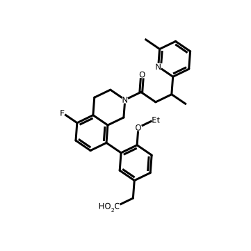 CCOc1ccc(CC(=O)O)cc1-c1ccc(F)c2c1CN(C(=O)CC(C)c1cccc(C)n1)CC2